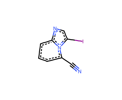 N#Cc1cccc2ncc(I)n12